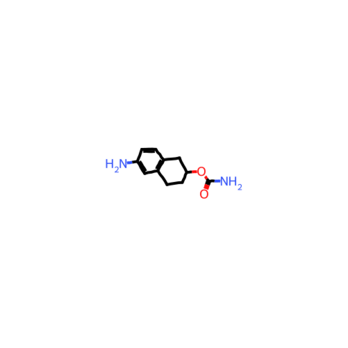 NC(=O)OC1CCc2cc(N)ccc2C1